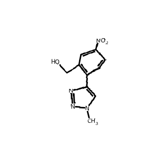 Cn1cc(-c2ccc([N+](=O)[O-])cc2CO)nn1